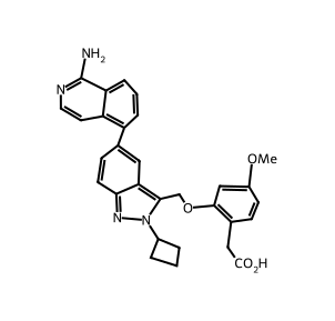 COc1ccc(CC(=O)O)c(OCc2c3cc(-c4cccc5c(N)nccc45)ccc3nn2C2CCC2)c1